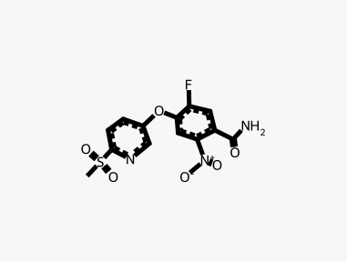 CS(=O)(=O)c1ccc(Oc2cc([N+](=O)[O-])c(C(N)=O)cc2F)cn1